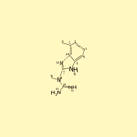 Cc1cccc2[nH]c(N(C)C(=N)N)nc12